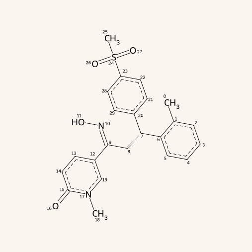 Cc1ccccc1[C@H](CC(=NO)c1ccc(=O)n(C)c1)c1ccc(S(C)(=O)=O)cc1